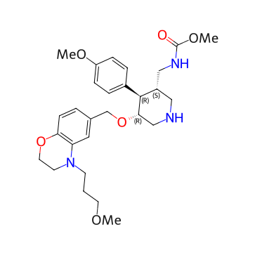 COCCCN1CCOc2ccc(CO[C@H]3CNC[C@@H](CNC(=O)OC)[C@@H]3c3ccc(OC)cc3)cc21